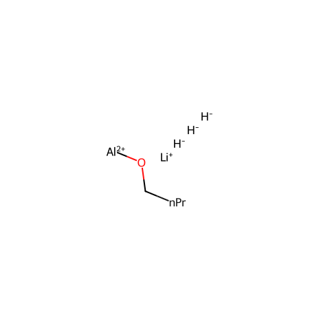 CCCC[O][Al+2].[H-].[H-].[H-].[Li+]